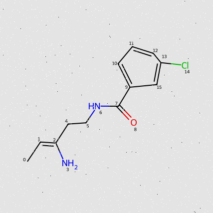 C/C=C(\N)CCNC(=O)c1cccc(Cl)c1